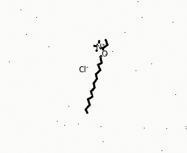 CCCCCCCCCCCCCCOC(CC)[N+](C)(C)C.[Cl-]